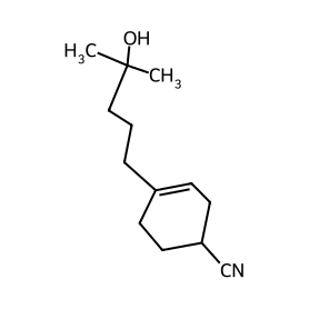 CC(C)(O)CCCC1=CCC(C#N)CC1